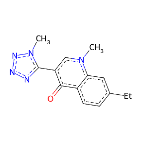 CCc1ccc2c(=O)c(-c3nnnn3C)cn(C)c2c1